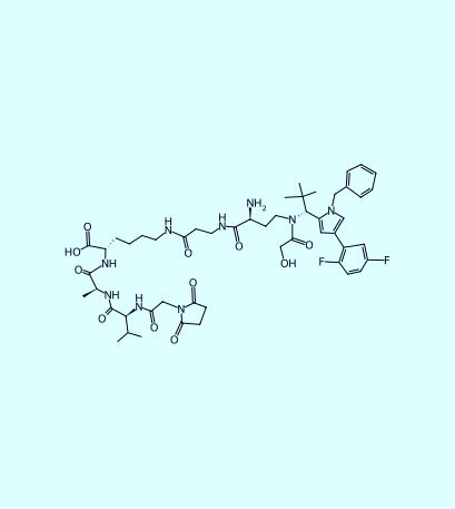 CC(C)[C@H](NC(=O)CN1C(=O)CCC1=O)C(=O)N[C@@H](C)C(=O)N[C@@H](CCCCNC(=O)CCNC(=O)[C@@H](N)CCN(C(=O)CO)[C@@H](c1cc(-c2cc(F)ccc2F)cn1Cc1ccccc1)C(C)(C)C)C(=O)O